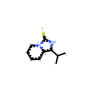 CC(C)c1[nH]c(=S)n2ccccc12